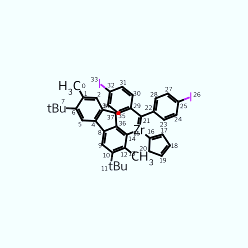 Cc1cc2c(cc1C(C)(C)C)-c1cc(C(C)(C)C)c(C)[c]([Zr]([C]3=CC=CC3)=[C](c3ccc(I)cc3)c3ccc(I)cc3)c1C2